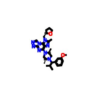 COc1cccc(C(C(C)C)N2C[C@H](C)N(c3nc4nncn4c4c3nc(C)n4C[C@@H]3CCCO3)C[C@H]2C)c1